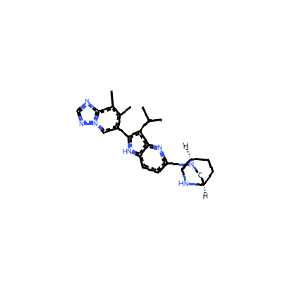 Cc1c(-c2[nH]c3ccc(N4C[C@H]5CC[C@@H]4CN5)nc3c2C(C)C)cn2ncnc2c1C